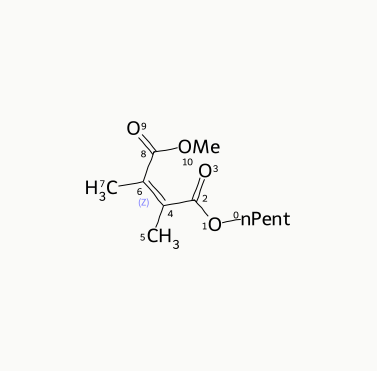 CCCCCOC(=O)/C(C)=C(/C)C(=O)OC